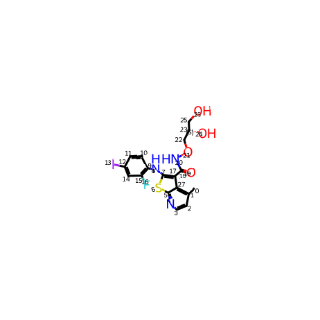 Cc1ccnc2sc(Nc3ccc(I)cc3F)c(C(=O)NOC[C@@H](O)CO)c12